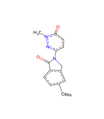 COc1ccc2c(c1)CN(c1ccc(=O)n(C)n1)C2=O